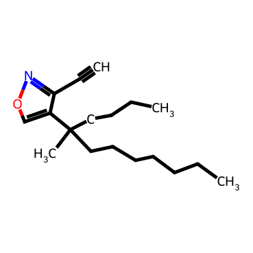 C#Cc1nocc1C(C)(CCCC)CCCCCCC